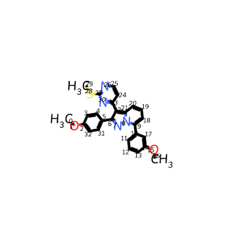 COc1ccc(-c2nn3c(-c4cccc(OC)c4)cccc3c2-c2ccnc(SC)n2)cc1